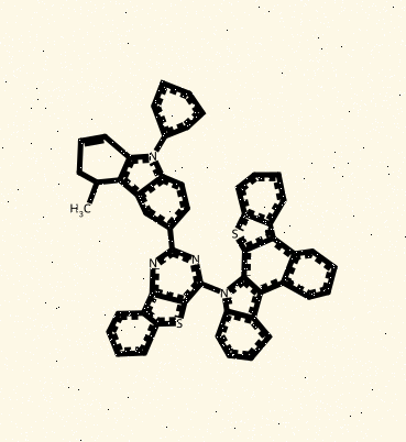 CC1CC=Cc2c1c1cc(-c3nc(-n4c5ccccc5c5c6ccccc6c6c7ccccc7sc6c54)c4sc5ccccc5c4n3)ccc1n2-c1ccccc1